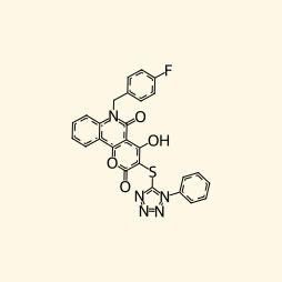 O=c1oc2c(c(O)c1Sc1nnnn1-c1ccccc1)c(=O)n(Cc1ccc(F)cc1)c1ccccc21